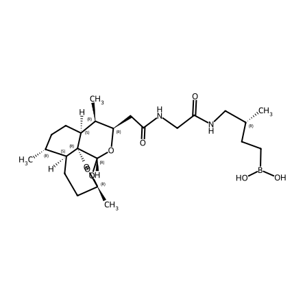 C[C@H](CCB(O)O)CNC(=O)CNC(=O)C[C@H]1O[C@@H]2O[C@@]3(C)CC[C@H]4[C@H](C)CC[C@@H]([C@H]1C)[C@@]24OO3